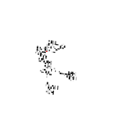 CC1(C)O[C@@H]2C[C@H]3[C@@H]4CCC5=CC(=O)C=C[C@]5(C)[C@@]4(F)[C@@H](O)C[C@]3(C)[C@]2(C(=O)COC(=O)OCC(NC(=O)CCCCCON(O)O)C(=O)OCCCCON(O)O)O1